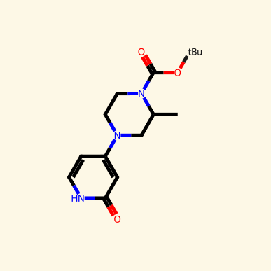 CC1CN(c2cc[nH]c(=O)c2)CCN1C(=O)OC(C)(C)C